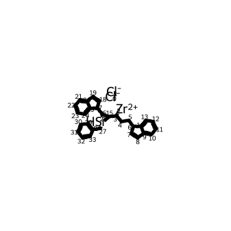 [Cl-].[Cl-].[Zr+2][CH](CCC1C=Cc2ccccc21)C1C(C2C=Cc3ccccc32)[SiH]1Cc1ccccc1